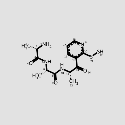 C[C@H](N)C(=O)N[C@@H](C)C(=O)N[C@@H](C)C(=O)c1cccnc1SS